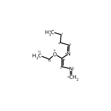 C=N/C=C(\N=C/CCC)OCC